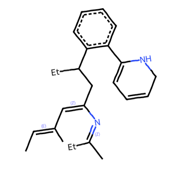 C/C=C(C)/C=C(CC(CC)c1ccccc1C1=CC=CCN1)\N=C(\C)CC